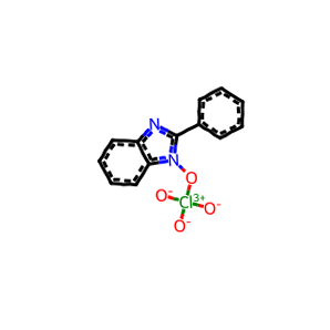 [O-][Cl+3]([O-])([O-])On1c(-c2ccccc2)nc2ccccc21